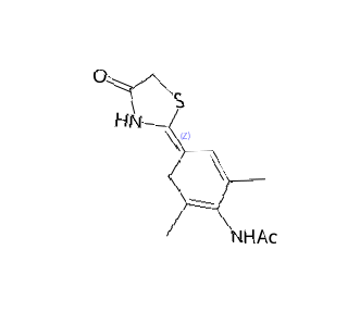 CC(=O)NC1=C(C)C/C(=C2\NC(=O)CS2)C=C1C